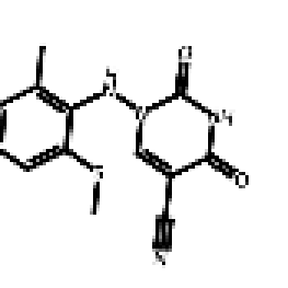 CSc1cccc(C)c1Nn1cc(C#N)c(=O)[nH]c1=O